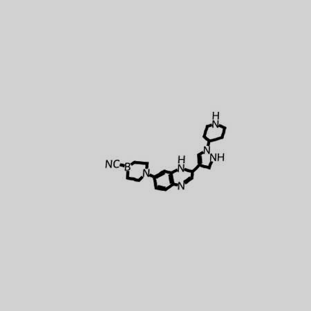 N#CB1CCN(c2ccc3c(c2)NC(C2=CN(C4CCNCC4)NC2)C=N3)CC1